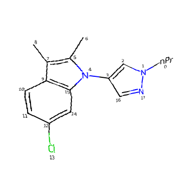 CCCn1cc(-n2c(C)c(C)c3ccc(Cl)cc32)cn1